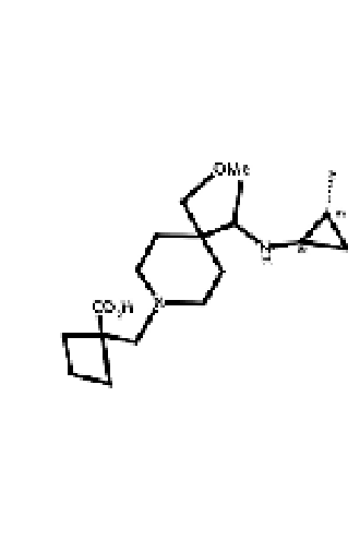 COCC1(C(C)N[C@@H]2C[C@H]2C)CCN(CC2(C(=O)O)CCC2)CC1